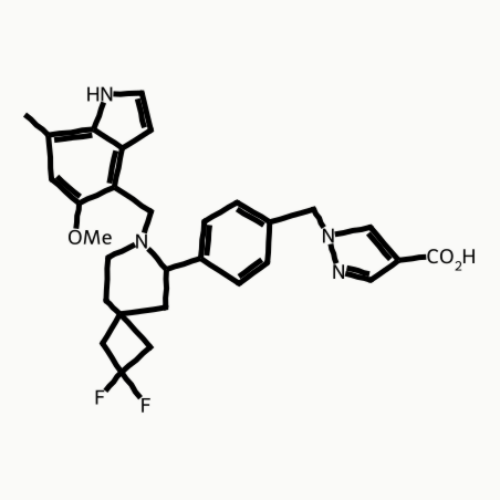 COc1cc(C)c2[nH]ccc2c1CN1CCC2(CC1c1ccc(Cn3cc(C(=O)O)cn3)cc1)CC(F)(F)C2